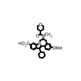 COc1ccc2c(c1)CC(N(C)C(=O)C1CCOCC1)Cn1c-2c(C2CCCCC2)c2ccc(C(=O)O)cc21